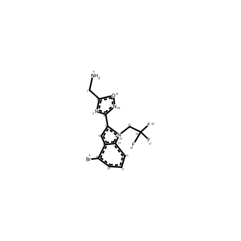 NCc1nc(-c2cc3c(Br)cccc3n2CC(F)(F)F)no1